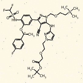 C[C@H](Oc1cc(-c2nn(COCC[Si](C)(C)C)c(Nc3ccn(CCOCC(=O)OC(C)(C)C)n3)c2C#N)ccc1NS(=O)(=O)C(F)F)c1ccc(F)cc1